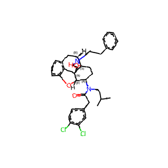 CC(C)CN(C(=O)Cc1ccc(Cl)c(Cl)c1)[C@@H]1CC[C@@]2(O)[C@H]3Cc4cccc5c4[C@@]2(CCN3CCc2ccccc2)[C@H]1O5